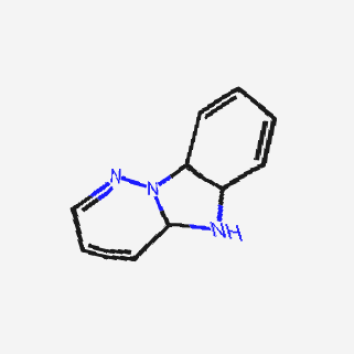 C1=CC2NC3C=CC=NN3C2C=C1